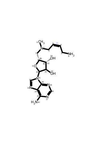 CN(C/C=C\CN)C[C@H]1OC(n2cnc3c(N)ncnc32)C(O)[C@H]1O